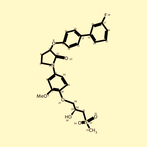 COc1cc(N2CCC(Oc3ccc(-c4cccc(F)c4)cc3)C2=O)ccc1OC[C@H](O)CS(C)(=O)=O